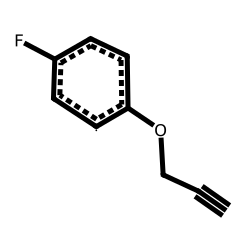 C#CCOc1[c]cc(F)cc1